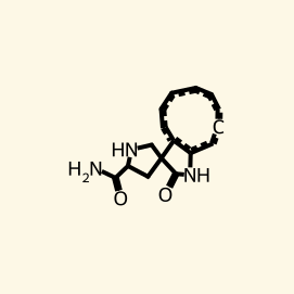 NC(=O)C1CC2(CN1)C(=O)Nc1ccccccccc12